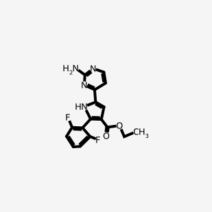 CCOC(=O)c1cc(-c2ccnc(N)n2)[nH]c1-c1c(F)cccc1F